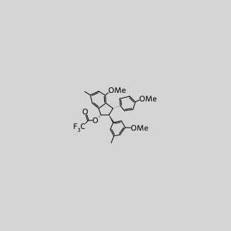 COc1ccc([C@H]2c3c(OC)cc(C)cc3[C@@H](OC(=O)C(F)(F)F)[C@@H]2c2cc(C)cc(OC)c2)cc1